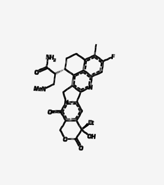 CC[C@@]1(O)C(=O)OCc2c1cc1n(c2=O)Cc2c-1nc1cc(F)c(C)c3c1c2[C@H](C(CNC)C(N)=O)CC3